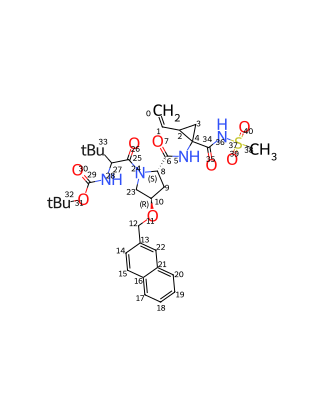 C=CC1CC1(NC(=O)[C@@H]1C[C@@H](OCc2ccc3ccccc3c2)CN1C(=O)C(NC(=O)OC(C)(C)C)C(C)(C)C)C(=O)NS(C)(=O)=O